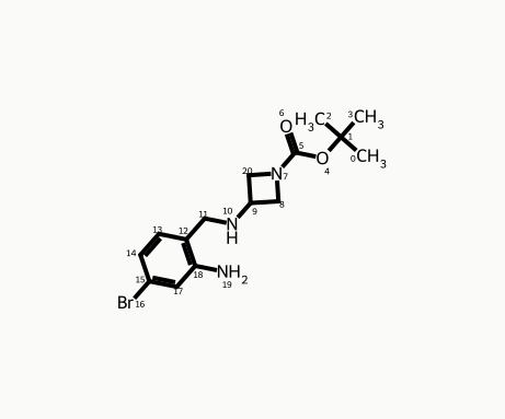 CC(C)(C)OC(=O)N1CC(NCc2ccc(Br)cc2N)C1